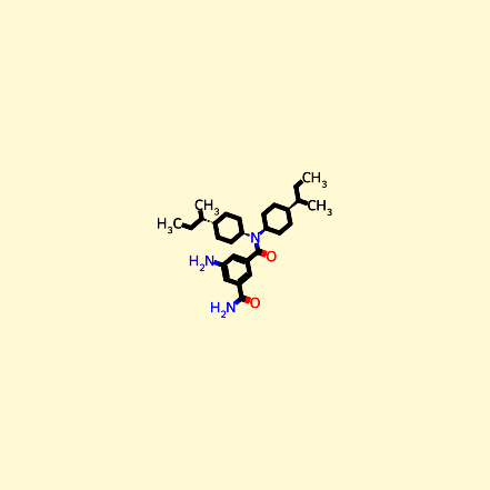 CCC(C)[C@H]1CC[C@@H](N(C(=O)c2cc(N)cc(C(N)=O)c2)[C@H]2CC[C@@H](C(C)CC)CC2)CC1